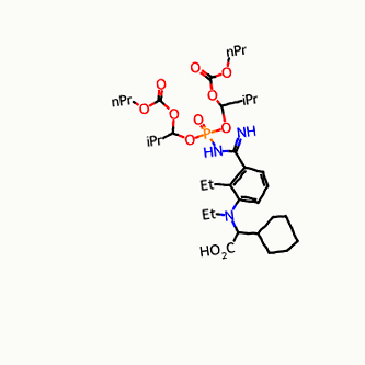 CCCOC(=O)OC(OP(=O)(NC(=N)c1cccc(N(CC)C(C(=O)O)C2CCCCC2)c1CC)OC(OC(=O)OCCC)C(C)C)C(C)C